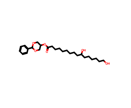 O=C(CCCCCCCCC(O)CCCCCCO)OC1COC(c2ccccc2)OC1